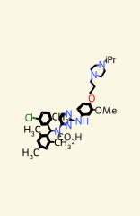 COc1cc(Nc2nccc(N(C(=O)O)C(c3cc(Cl)ccc3C)c3c(C)cc(C)cc3C)n2)ccc1OCCCN1CCN(C(C)C)CC1